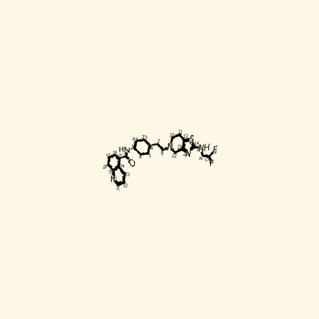 O=C(N[C@H]1CC[C@H](CCN2CCc3sc(NCC(F)F)nc3C2)CC1)c1cccc2ncccc12